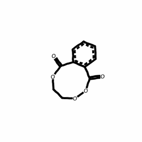 O=C1OCCOOC(=O)c2ccccc21